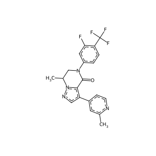 Cc1cc(-c2cnn3c2C(=O)N(c2ccc(C(F)(F)F)c(F)c2)CC3C)ccn1